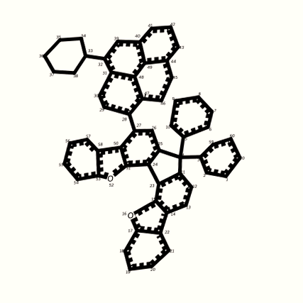 c1ccc(C2(c3ccccc3)c3ccc4c(oc5ccccc54)c3-c3c2cc(-c2ccc4c(C5CCCCC5)cc5cccc6ccc2c4c65)c2c3oc3ccccc32)cc1